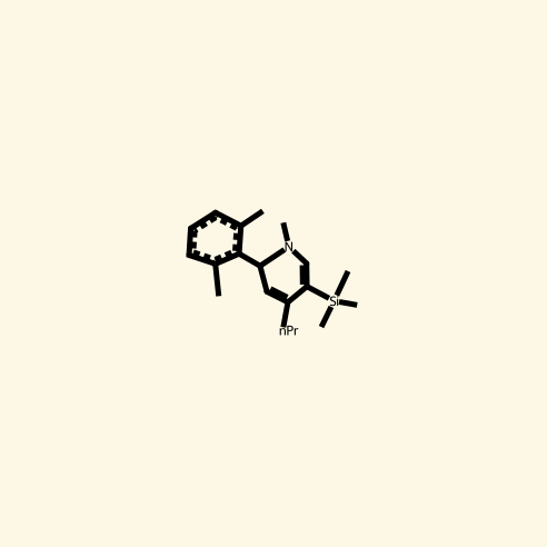 CCCC1=CC(c2c(C)cccc2C)N(C)C=C1[Si](C)(C)C